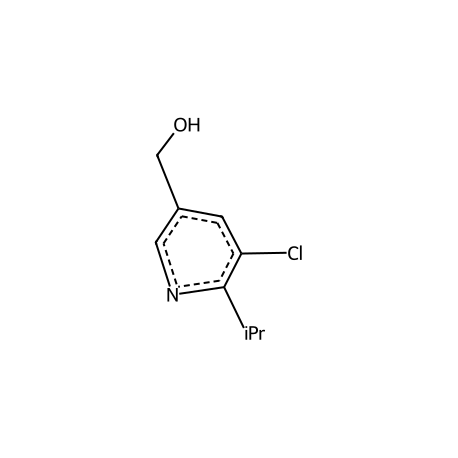 CC(C)c1ncc(CO)cc1Cl